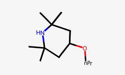 [CH2]CCOC1CC(C)(C)NC(C)(C)C1